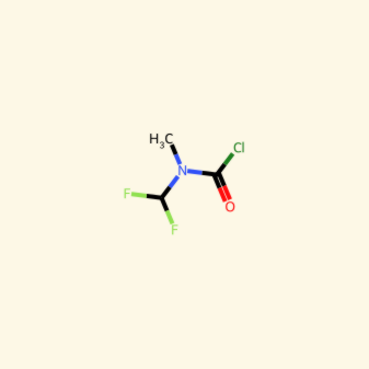 CN(C(=O)Cl)C(F)F